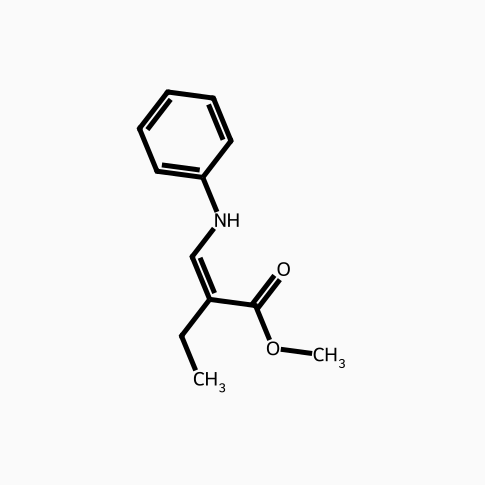 CCC(=CNc1ccccc1)C(=O)OC